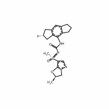 C[C@@H]1Cn2ncc([S@@](C)(=O)=NC(=O)Nc3c4c(cc5c3C[C@H](F)C5)CCC4)c2O1